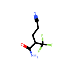 N#CCCC(C(N)=O)C(F)(F)F